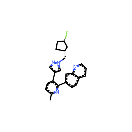 Cc1ccc(-c2cnn(C[C@@H]3CC[C@@H](F)C3)c2)c(-c2ccc3cccnc3c2)n1